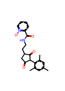 Cc1cc(C)c(C2C(=O)CC(CCNC(=O)c3cccc[n+]3[O-])C2=O)c(C)c1